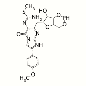 COc1ccc(-c2cn3c(=O)c(/N=C(\N)SC)c(CC4OC5COPOC5C4O)nc3[nH]2)cc1